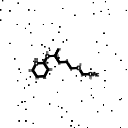 CC(=O)OCOCCCC(C)OC1CCCCO1